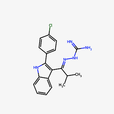 CC(C)C(=NNC(=N)N)c1c(-c2ccc(Cl)cc2)[nH]c2ccccc12